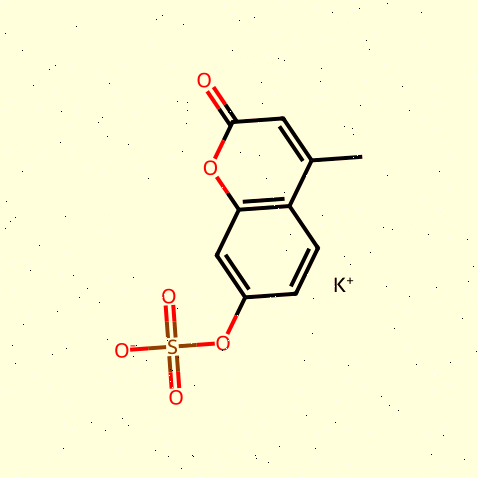 Cc1cc(=O)oc2cc(OS(=O)(=O)[O-])ccc12.[K+]